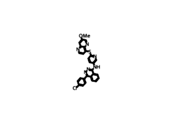 COc1cnc2c(Sc3ccc(Nc4nnc(-c5ccc(Cl)cc5)c5ccccc45)cn3)ccnc2c1